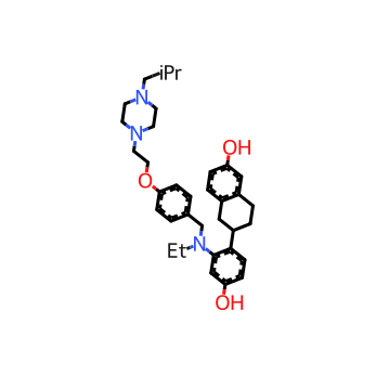 CCN(Cc1ccc(OCCN2CCN(CC(C)C)CC2)cc1)c1cc(O)ccc1C1CCc2cc(O)ccc2C1